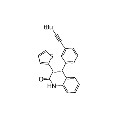 CC(C)(C)C#Cc1cccc(-c2c(-c3cccs3)c(=O)[nH]c3ccccc23)c1